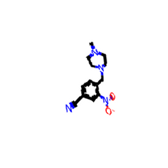 CN1CCN(Cc2ccc(C#N)cc2[N+](=O)[O-])CC1